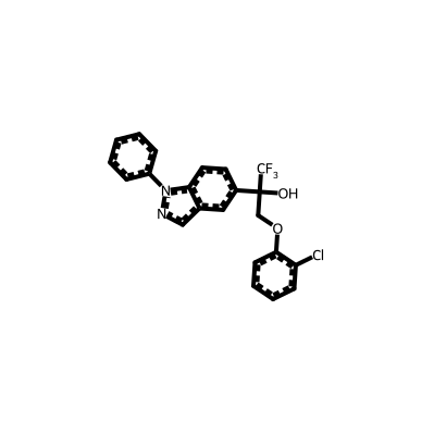 OC(COc1ccccc1Cl)(c1ccc2c(cnn2-c2ccccc2)c1)C(F)(F)F